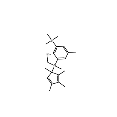 CC1=[C]C(C)([Si](C)(CC(C)C)c2cc(C)cc([Si](C)(C)C)c2)C(C)=C1C